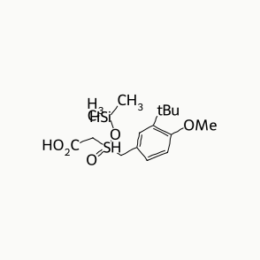 COc1ccc(C[SH](=O)(CC(=O)O)O[SiH](C)C)cc1C(C)(C)C